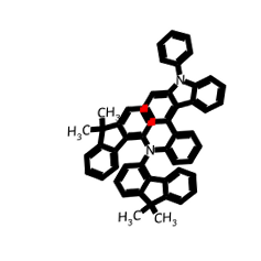 CC1(C)c2ccccc2-c2c(N(c3ccccc3-c3cccc4c3c3ccccc3n4-c3ccccc3)c3cccc4c3-c3ccccc3C4(C)C)cccc21